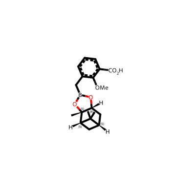 COc1c(CB2O[C@@H]3C[C@@H]4C[C@@H](C4(C)C)[C@]3(C)O2)cccc1C(=O)O